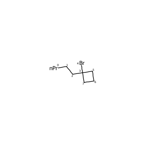 CCCCCC1(Br)CCC1